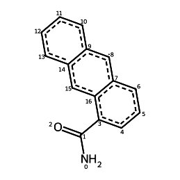 NC(=O)c1cccc2[c]c3ccccc3cc12